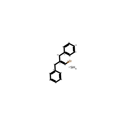 BrC=C(Cc1ccccc1)Cc1ccccc1.[SiH4]